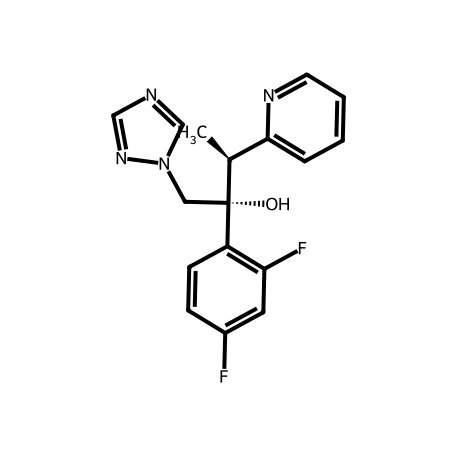 C[C@@H](c1ccccn1)[C@](O)(Cn1cncn1)c1ccc(F)cc1F